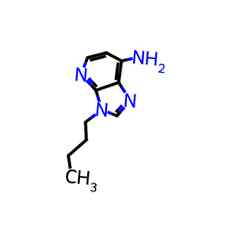 CCCCn1cnc2c(N)ccnc21